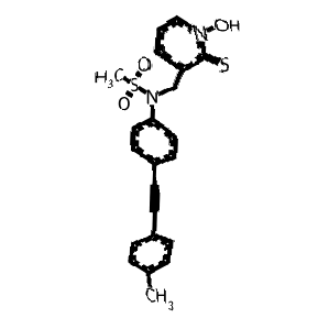 Cc1ccc(C#Cc2ccc(N(Cc3cccn(O)c3=S)S(C)(=O)=O)cc2)cc1